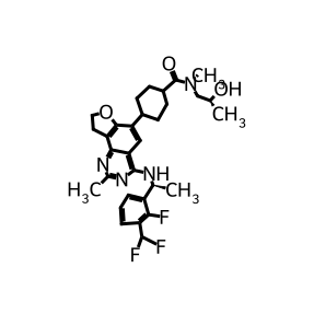 Cc1nc(N[C@@H](C)c2cccc(C(F)F)c2F)c2cc(C3CCC(C(=O)N(C)C[C@H](C)O)CC3)c3c(c2n1)CCO3